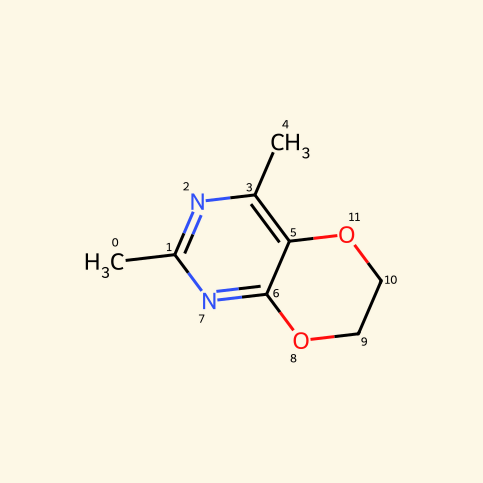 Cc1nc(C)c2c(n1)OCCO2